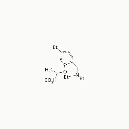 CCc1ccc(CN(CC)CC)c(OC(C)C(=O)O)c1